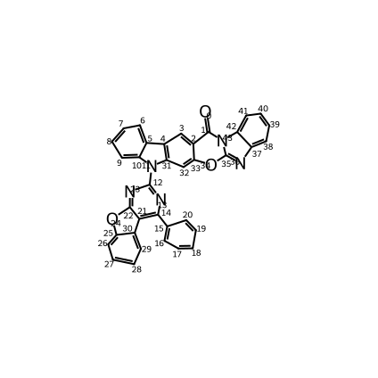 O=c1c2cc3c4ccccc4n(-c4nc(-c5ccccc5)c5c(n4)oc4ccccc45)c3cc2oc2nc3ccccc3n12